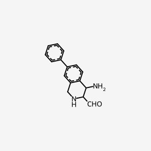 NC1c2ccc(-c3ccccc3)cc2CNC1C=O